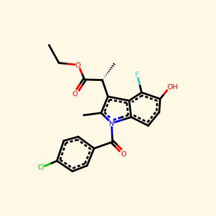 CCOC(=O)[C@H](C)c1c(C)n(C(=O)c2ccc(Cl)cc2)c2ccc(O)c(F)c12